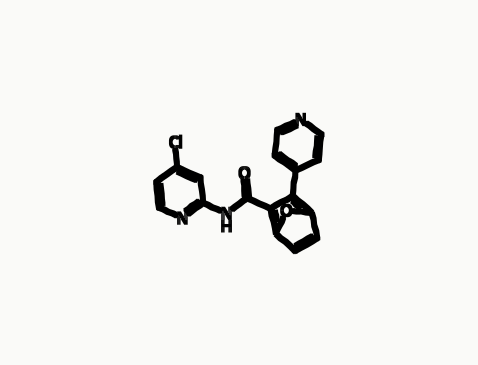 O=C(Nc1cc(Cl)ccn1)c1c(-c2ccncc2)c2ccc1o2